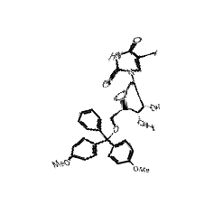 COc1ccc(C(OC[C@H]2O[C@@H](n3cc(I)c(=O)[nH]c3=O)[C@H](O)[C@@H]2O)(c2ccccc2)c2ccc(OC)cc2)cc1